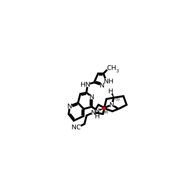 Cc1cc(Nc2cc3ncccc3c(N[C@@H]3CC4CC[C@@H](C3)N4C3CN(CCC#N)C3)n2)n[nH]1